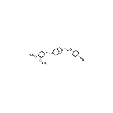 COc1ccc(CCN2CC3CN(CCOc4ccc(C#N)cc4)CC(C2)O3)cc1OC